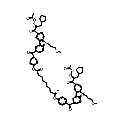 COCCCn1c2ccc(C(=O)/C(CC3CCCC3)=N/OC(C)=O)cc2c2cc(C(=O)c3ccc(OC(=O)CCCCCCCC(=O)Oc4ccc(C(=O)c5ccc6c(c5)c5cc(C(=O)/C(CC7CCCC7)=N/OC(C)=O)ccc5n6CCCOC)cc4)cc3)ccc21